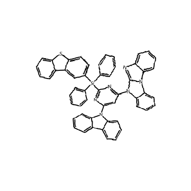 c1ccc([Si](c2ccccc2)(c2ccc3sc4ccccc4c3c2)c2nc(-n3c4ccccc4c4ccccc43)cc(-n3c4ccccc4n4c5ccccc5nc34)n2)cc1